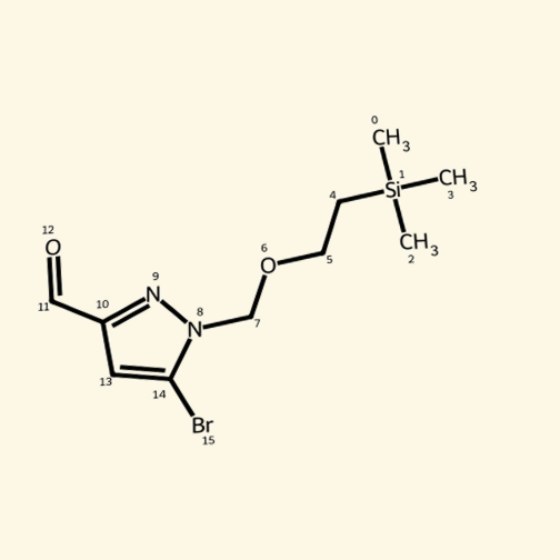 C[Si](C)(C)CCOCn1nc(C=O)cc1Br